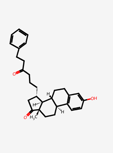 C[C@]12CC[C@@H]3c4ccc(O)cc4CC[C@H]3[C@@H]1[C@@H](CCCC(=O)CCc1ccccc1)CC2=O